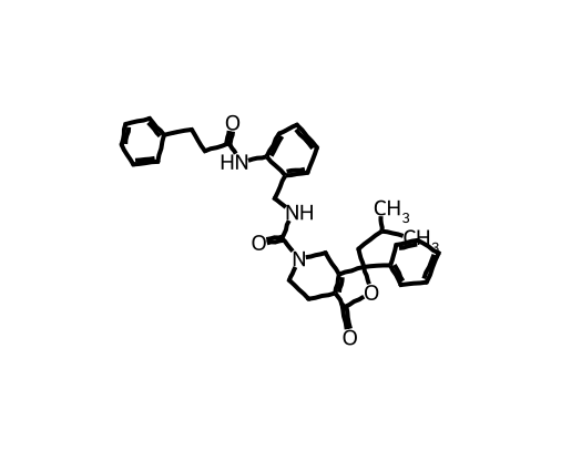 CC(C)CC1(c2ccccc2)OC(=O)C2=C1CN(C(=O)NCc1ccccc1NC(=O)CCc1ccccc1)CC2